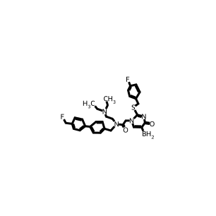 Bc1cn(CC(=O)N(CCN(CC)CC)Cc2ccc(-c3ccc(CF)cc3)cc2)c(SCc2ccc(F)cc2)nc1=O